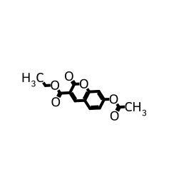 CCOC(=O)c1cc2ccc(OC(C)=O)cc2oc1=O